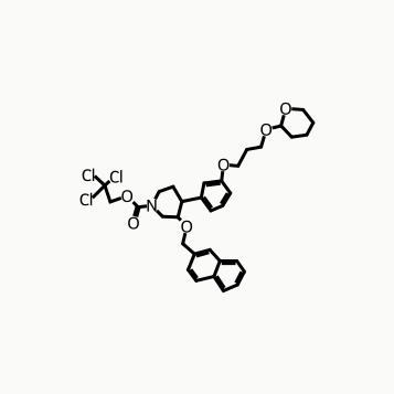 O=C(OCC(Cl)(Cl)Cl)N1CCC(c2cccc(OCCCOC3CCCCO3)c2)C(OCc2ccc3ccccc3c2)C1